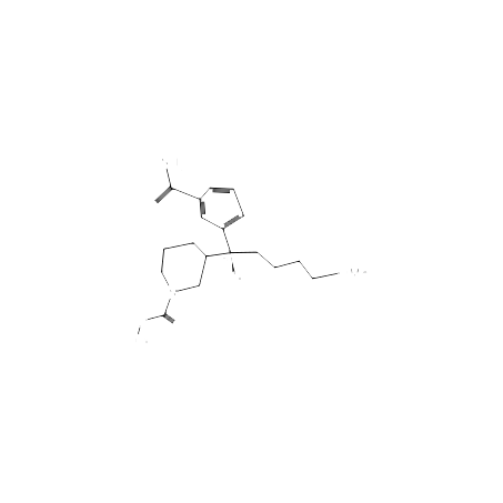 COCCCC[C@@](O)(c1cccc(C(N)=O)c1)C1CCCN(C(=O)OC(C)(C)C)C1